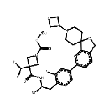 CC(C)(C)OC(=O)N1CC(C(=O)N[C@H](C#N)Cc2ccc(-c3ccc4c(c3)C3(CCN(C5COC5)CC3)OC4)cc2F)(C(F)F)C1